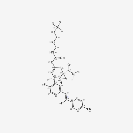 CN(C)C(=O)[C@]12C[C@H]1[C@@](C)(c1cc(/C=C(\F)c3ccc(C#N)cc3)ccc1F)N=C(OC(=O)NCOCC[Si](C)(C)C)S2